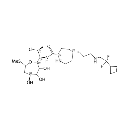 CSC1C[C@H](O)C(O)C(O)[C@@H]([C@H](NC(=O)[C@@H]2CC[C@H](CCCNCC(F)(F)C3CCC3)CCN2)[C@H](C)Cl)O1